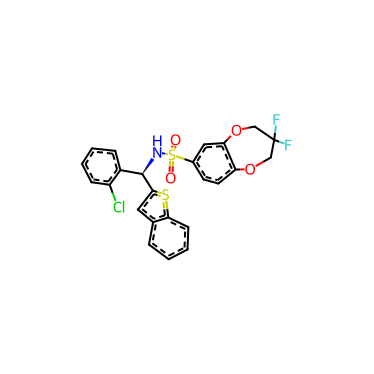 O=S(=O)(N[C@@H](c1cc2ccccc2s1)c1ccccc1Cl)c1ccc2c(c1)OCC(F)(F)CO2